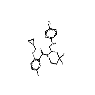 Cc1ccc(OCC2CC2)c(C(=O)N2CCC(F)(F)CC2CNc2ccc(C(F)(F)F)cn2)n1